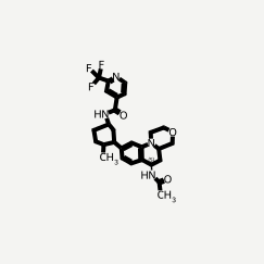 CC(=O)N[C@H]1CC2COCCN2c2cc(C3CC(NC(=O)c4ccnc(C(F)(F)F)c4)CCC3C)ccc21